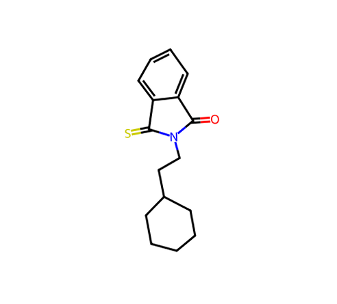 O=C1c2ccccc2C(=S)N1CCC1CCCCC1